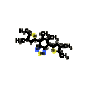 Cc1cc(-c2c(C)c(C)c(-c3cc(C)c(C)s3)c3nsnc23)sc1C